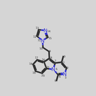 Cc1cnc(C)n2c1c(CCn1ccnc1)c1ccccc12